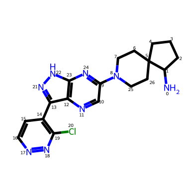 NC1CCCC12CCN(c1cnc3c(-c4ccnnc4Cl)n[nH]c3n1)CC2